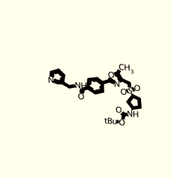 Cc1oc(-c2ccc(C(=O)NCc3cccnc3)cc2)nc1CS(=O)(=O)[C@H]1CC[C@H](NC(=O)OC(C)(C)C)C1